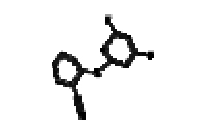 N#Cc1ccccc1Sc1cc(F)cc(F)c1